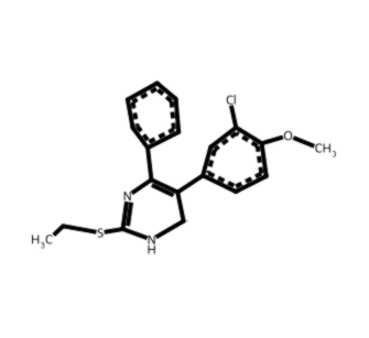 CCSC1=NC(c2ccccc2)=C(c2ccc(OC)c(Cl)c2)[CH]N1